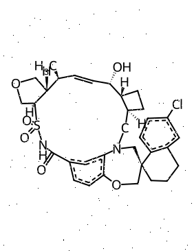 C[C@H]1/C=C/[C@H](O)[C@@H]2CC[C@H]2CN2C[C@@]3(CCCc4cc(Cl)ccc43)COc3ccc(cc32)C(=O)NS(=O)(=O)[C@H]2COC[C@H]12